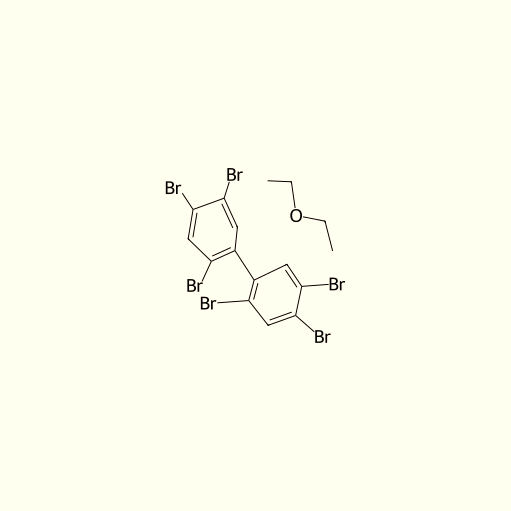 Brc1cc(Br)c(-c2cc(Br)c(Br)cc2Br)cc1Br.CCOCC